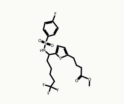 COC(=O)CCCc1ccc(C(CCCCC(F)(F)F)NS(=O)(=O)c2ccc(F)cc2)s1